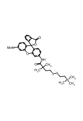 CNc1ccc2c(c1)Oc1cc(NC(=O)C(C)(C)CCSSCC[N+](C)(C)C)ccc1C21OC(=O)c2ccccc21